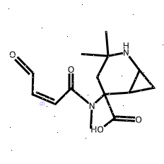 CN(C(=O)/C=C\C=O)C1(C(=O)O)CC(C)(C)NC2CC21